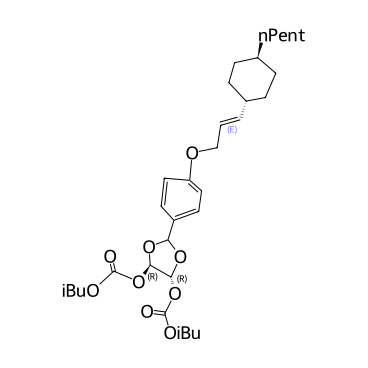 CCCCC[C@H]1CC[C@H](/C=C/COc2ccc(C3O[C@H](OC(=O)OCC(C)C)[C@@H](OC(=O)OCC(C)C)O3)cc2)CC1